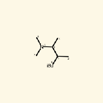 CCC(C)C(C)C(C)N(C)C